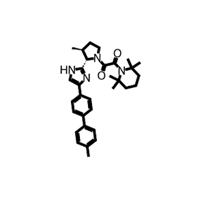 Cc1ccc(-c2ccc(-c3c[nH]c([C@@H]4[C@@H](C)CCN4C(=O)C(=O)N4C(C)(C)CCCC4(C)C)n3)cc2)cc1